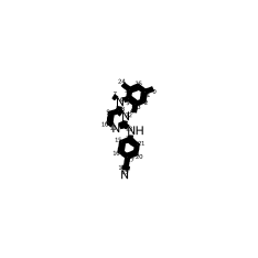 Cc1cc(C)c(N(C)c2ccnc(Nc3ccc(C#N)cc3)n2)c(C)c1